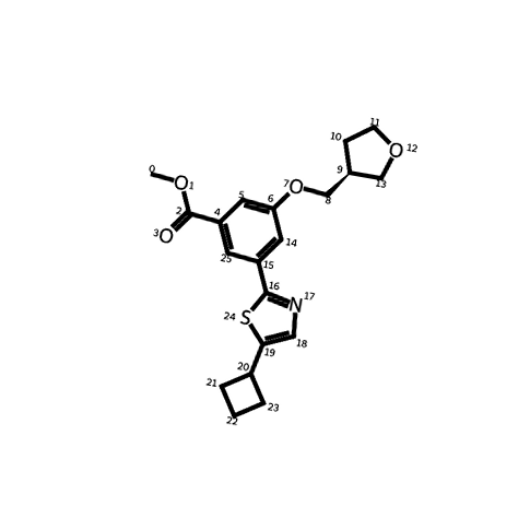 COC(=O)c1cc(OC[C@H]2CCOC2)cc(-c2ncc(C3CCC3)s2)c1